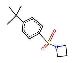 CC(C)(C)c1ccc(S(=O)(=O)N2CCC2)cc1